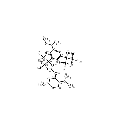 CCC(C)c1cc(C(O)(C(F)(F)F)C(F)(F)F)cc(C(OCOC2CC(C)CCC2C(C)C)(C(F)(F)F)C(F)(F)F)c1